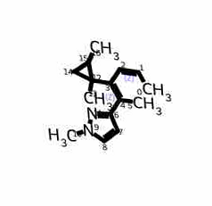 C/C=C\C(=C(/C)c1ccn(C)n1)C1(C)CC1C